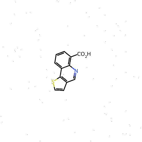 O=C(O)c1cccc2c1ncc1ccsc12